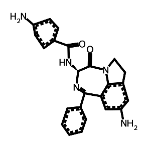 Nc1ccc(C(=O)N[C@@H]2N=C(c3ccccc3)c3cc(N)cc4c3N(CC4)C2=O)cc1